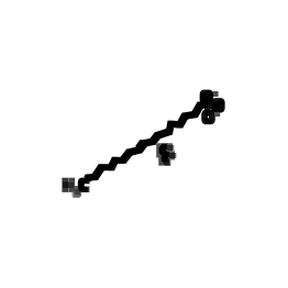 CCCCCCCCC=CCCCCCCCCP(=O)([O-])[O-].[K+].[K+]